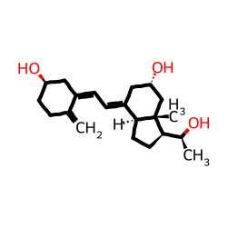 C=C1CC[C@@H](O)C/C1=C/C=C1\C[C@H](O)C[C@]2(C)[C@@H]([C@H](C)O)CC[C@@H]12